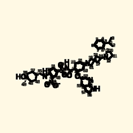 CC(C)c1ccccc1[C@@H]1CCCN1C1CC2(C1)CN(c1ccc(C(=O)NS(=O)(=O)c3ccc(NC[C@H]4CC[C@](C)(O)CC4)c([N+](=O)[O-])c3)c(Oc3cnc4[nH]ccc4c3)c1)C2